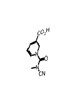 CN(C#N)C(=O)N1C=CC=C(C(=O)O)C1